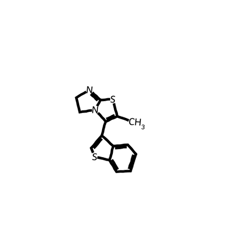 CC1=C(c2csc3ccccc23)N2CCN=C2S1